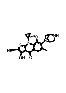 COc1c(N2CC3CC2CN3)c(F)cc2c(=O)c3c(O)c(C#N)sc3n(C3CC3)c12